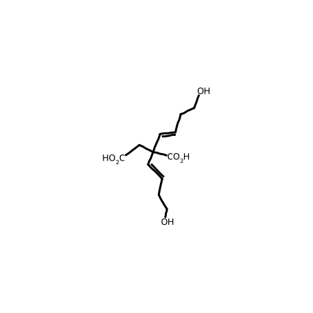 O=C(O)CC(/C=C/CCO)(/C=C/CCO)C(=O)O